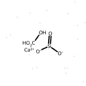 O=C(O)O.O=[Si]([O-])[O-].[Ca+2]